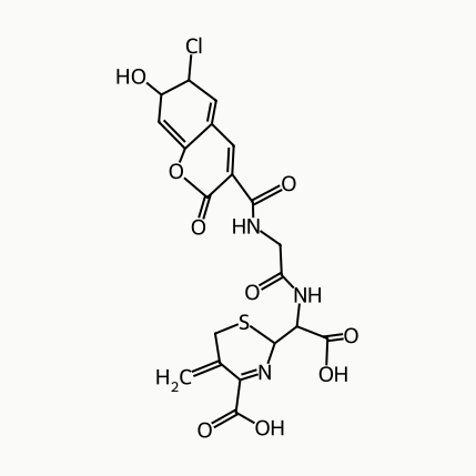 C=C1CSC(C(NC(=O)CNC(=O)c2cc3c(oc2=O)=CC(O)C(Cl)C=3)C(=O)O)N=C1C(=O)O